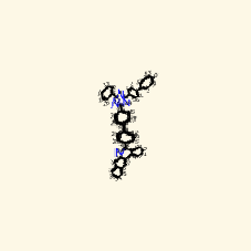 c1ccc(-c2ccc(-c3nc(-c4ccccc4)nc(-c4ccc(-c5ccc(-c6nc7cc8ccccc8cc7c7ccccc67)cc5)cc4)n3)cc2)cc1